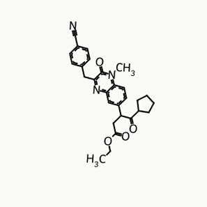 CCOC(=O)CC(C(=O)C1CCCC1)c1ccc2c(c1)nc(Cc1ccc(C#N)cc1)c(=O)n2C